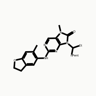 CCCCCC(CC)n1c(=O)n(C)c2cnc(Nc3cc4c(cc3C)OCC4)nc21